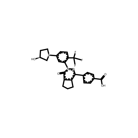 O=C(O)c1ccc(-c2nn(-c3cc(N4CC[C@H](O)C4)ccc3C(F)(F)F)c(=O)c3c2CCC3)cc1